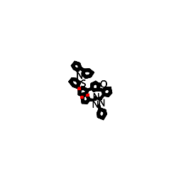 c1ccc(-c2nc(-c3ccccc3)nc(-c3cccc4oc5ccc(-c6cccc7c6sc6c(-n8c9ccccc9c9ccccc98)cccc67)cc5c34)n2)cc1